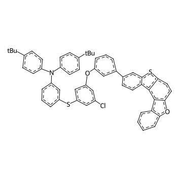 CC(C)(C)c1ccc(N(c2ccc(C(C)(C)C)cc2)c2cccc(Sc3cc(Cl)cc(Oc4cccc(-c5ccc6c(c5)sc5ccc7oc8ccccc8c7c56)c4)c3)c2)cc1